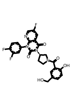 O=C(c1cc(CO)ccc1O)N1CC[C@@H](n2c(=O)c3cc(F)cnc3n(-c3ccc(F)c(F)c3)c2=O)C1